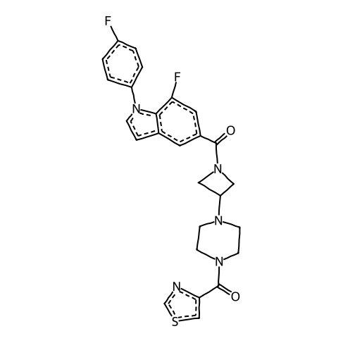 O=C(c1cc(F)c2c(ccn2-c2ccc(F)cc2)c1)N1CC(N2CCN(C(=O)c3cscn3)CC2)C1